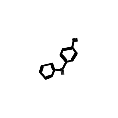 Sc1ccc(Nc2ccccc2)cc1